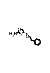 NC1=N[C@@H](COCCc2ccccc2)CO1